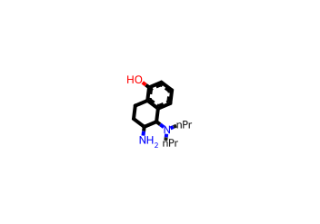 CCCN(CCC)C1c2cccc(O)c2CCC1N